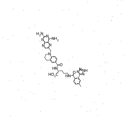 Cc1ccc(C(=O)NCCC[C@H](NC(=O)c2ccc3c(c2)CCCN3Cc2cnc3nc(N)nc(N)c3n2)C(=O)O)c(-c2nn[nH]n2)c1